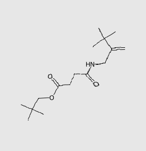 C=C(CNC(=O)CCC(=O)OCC(C)(C)C)C(C)(C)C